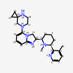 Cc1cccnc1[C@@H]1CCC[C@H](C2CN3C(N4CCNC5(CC5)C4)=CC=CC3=N2)N1C